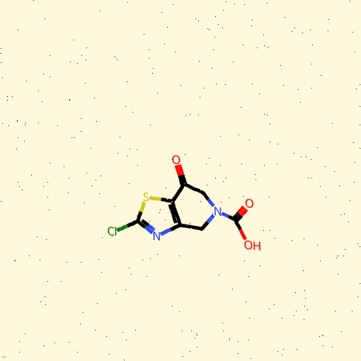 O=C1CN(C(=O)O)Cc2nc(Cl)sc21